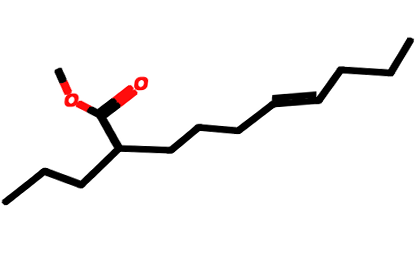 CCC/C=C/CCCC(CCC)C(=O)OC